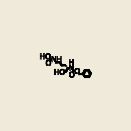 O=C(O)NCCCC[C@@H](CO)NC(=O)OCc1ccccc1